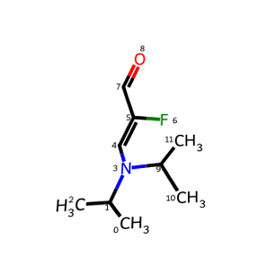 CC(C)N(/C=C(\F)C=O)C(C)C